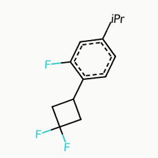 CC(C)c1ccc(C2CC(F)(F)C2)c(F)c1